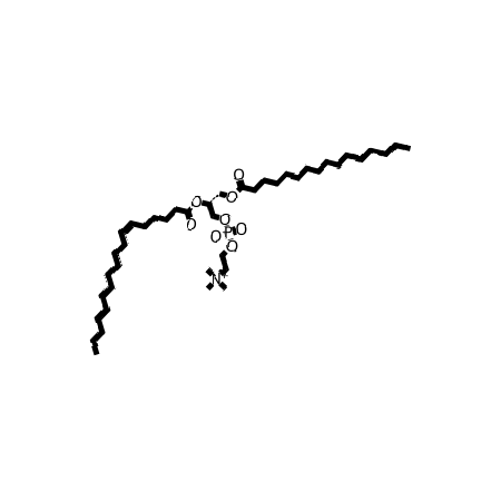 CCCCCCCCCCC/C=C\CCCCC(=O)O[C@H](COC(=O)CCCCCCCCCCCCCCC)COP(=O)([O-])OCC[N+](C)(C)C